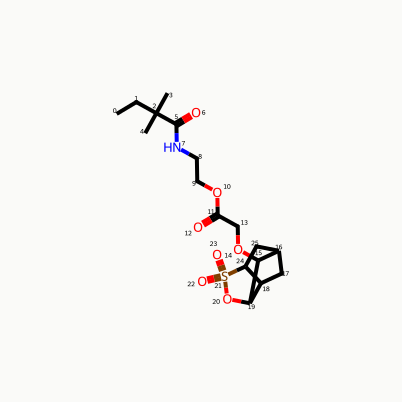 CCC(C)(C)C(=O)NCCOC(=O)COC1C2CC3C1OS(=O)(=O)C3C2